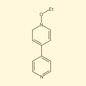 CCON1C=CC(c2ccncc2)=CC1